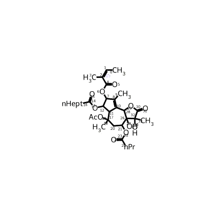 C/C=C(/C)C(=O)OC1C(C)=C2C(C1OC(=O)CCCCCCC)C(C)(OC(C)=O)CC(OC(=O)CCC)C1(O)C2OC(=O)C1(C)O